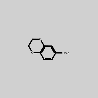 COc1[c]cc2c(c1)OCCO2